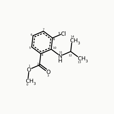 COC(=O)c1cccc(Cl)c1NC(C)C